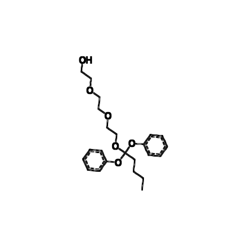 CCCCC(OCCOCCOCCO)(Oc1ccccc1)Oc1ccccc1